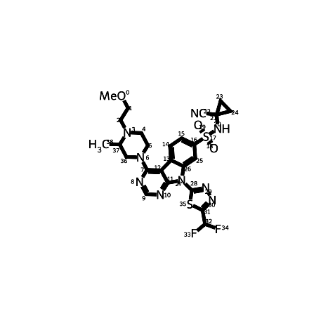 COCCN1CCN(c2ncnc3c2c2ccc(S(=O)(=O)NC4(C#N)CC4)cc2n3-c2nnc(C(F)F)s2)CC1C